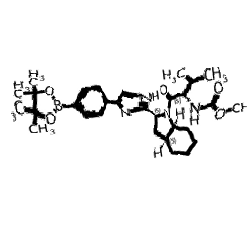 COC(=O)N[C@H](C(=O)N1[C@H](c2nc(-c3ccc(B4OC(C)(C)C(C)(C)O4)cc3)c[nH]2)C[C@@H]2CCCC[C@@H]21)C(C)C